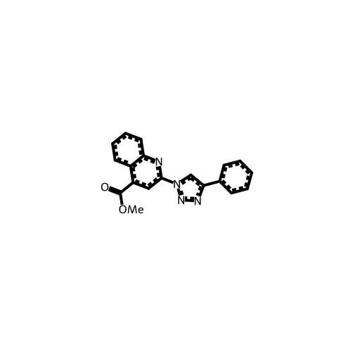 COC(=O)c1cc(-n2cc(-c3ccccc3)nn2)nc2ccccc12